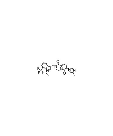 CCn1cc(CN2CCn3c(ccc(-n4cnc(C)c4)c3=O)C2=O)c2cccc(C(F)(F)F)c21